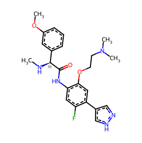 CN[C@H](C(=O)Nc1cc(F)c(-c2cn[nH]c2)cc1OCCN(C)C)c1cccc(OC)c1